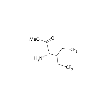 COC(=O)[C@@H](N)C(CC(F)(F)F)CC(F)(F)F